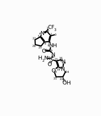 Cc1c(C(F)(F)F)nc2c(c1NC(=O)N=S(N)(=O)c1cnn3c1OC[C@H](O)C3)CCC2